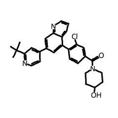 CC(C)(C)c1cc(-c2cc(-c3ccc(C(=O)N4CCC(O)CC4)cc3Cl)c3cccnc3c2)ccn1